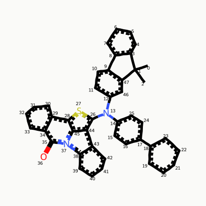 CC1(C)c2ccccc2-c2ccc(N(c3ccc(-c4ccccc4)cc3)c3sc4c5ccccc5c(=O)n5c6ccccc6c3c45)cc21